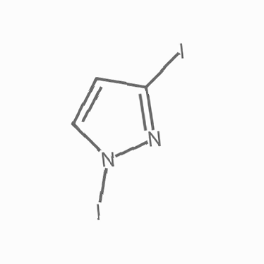 Ic1ccn(I)n1